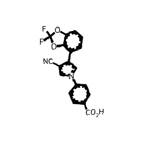 N#Cc1cn(-c2ccc(C(=O)O)cc2)cc1-c1cccc2c1OC(F)(F)O2